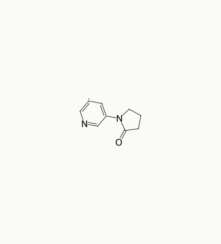 O=C1CCCN1c1c[c]cnc1